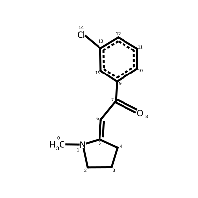 CN1CCC/C1=C\C(=O)c1cccc(Cl)c1